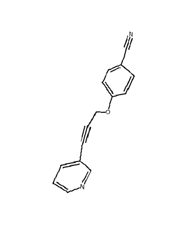 N#Cc1ccc(OCC#Cc2cccnc2)cc1